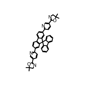 CC1(C)CN=C(c2ccc(-c3ccc4c(c3)C3(c5ccccc5-c5ccccc53)c3cc(-c5ccc(C6=NCC(C)(C)O6)cn5)ccc3-4)nc2)O1